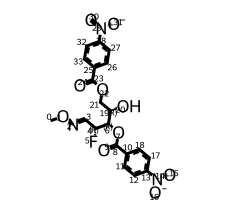 CON=C[C@@H](F)[C@H](OC(=O)c1ccc([N+](=O)[O-])cc1)[C@H](O)COC(=O)c1ccc([N+](=O)[O-])cc1